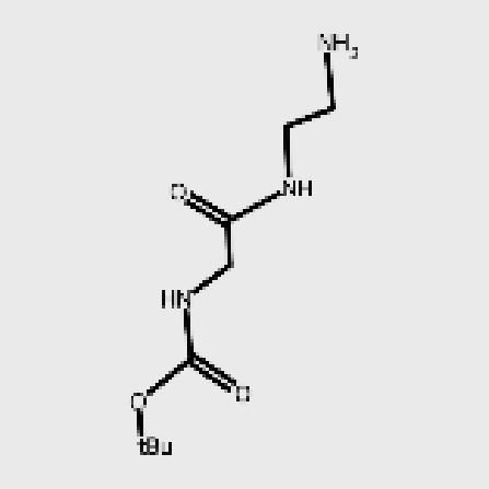 CC(C)(C)OC(=O)NCC(=O)NCCN